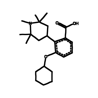 CN1C(C)(C)CC(c2c(OC3CCCCC3)cccc2C(=O)O)CC1(C)C